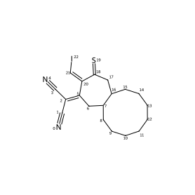 N#CC(C#N)=C1CC2CCCCCCCCC2CC(=S)/C1=C\I